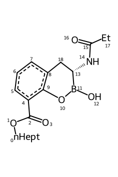 CCCCCCCOC(=O)c1cccc2c1OB(O)[C@@H](NC(=O)CC)C2